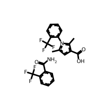 Cc1cc(C(=O)O)c(C)n1-c1ccccc1C(F)(F)F.NC(=O)c1ccccc1C(F)(F)F